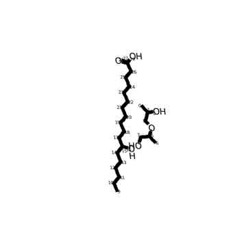 CC(O)COC(C)CO.CCCCCCC(O)CCCCCCCCCCC(=O)O